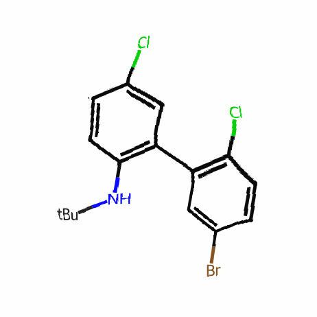 CC(C)(C)Nc1c[c]c(Cl)cc1-c1cc(Br)ccc1Cl